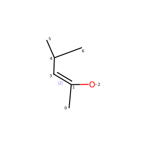 C/C([O])=C/C(C)C